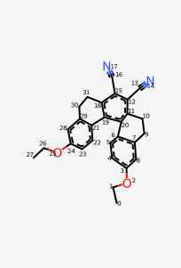 CCOc1ccc2c(c1)CCc1c(C#N)c(C#N)c3c(c1-2)-c1ccc(OCC)cc1CC3